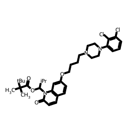 CC(C)C(OC(=O)C(C)(C)C(C)(C)C)n1c(=O)ccc2ccc(OCCCCN3CCN(c4cccc(Cl)c4Cl)CC3)cc21